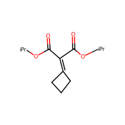 CC(C)OC(=O)C(C(=O)OC(C)C)=C1CCC1